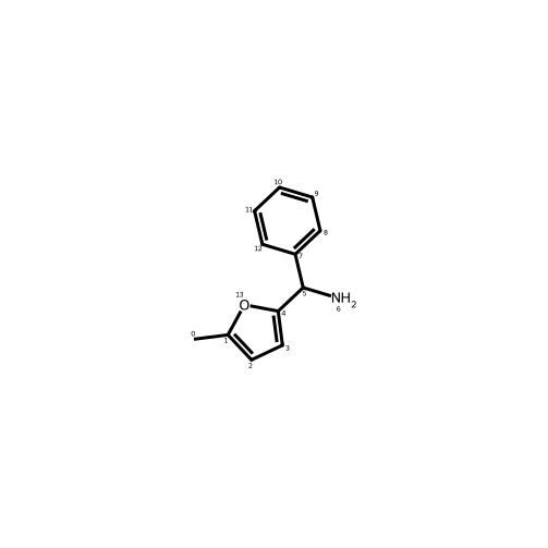 Cc1ccc(C(N)c2ccccc2)o1